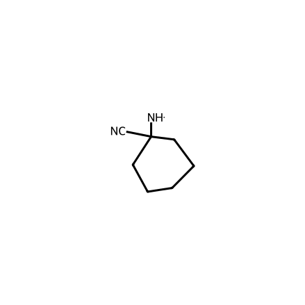 N#CC1([NH])CCCCC1